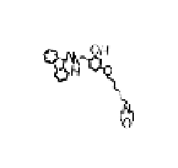 Oc1cc(OCCCCCCN2CCOCC2)ccc1CNN=C1c2ccccc2-c2ccccc21